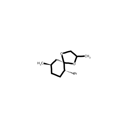 CC1CO[C@@]2(C[C@H](C)CC[C@H]2C(C)C)O1